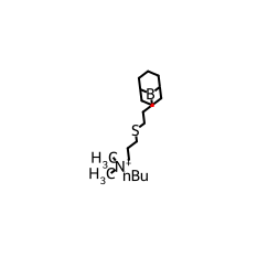 CCCC[N+](C)(C)CCCSCCCB1C2CCCC1CCC2